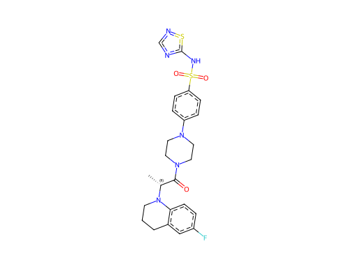 C[C@H](C(=O)N1CCN(c2ccc(S(=O)(=O)Nc3ncns3)cc2)CC1)N1CCCc2cc(F)ccc21